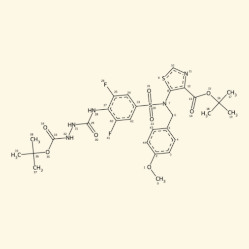 COc1ccc(CN(c2scnc2C(=O)OC(C)(C)C)S(=O)(=O)c2cc(F)c(NC(=O)NNC(=O)OC(C)(C)C)c(F)c2)cc1